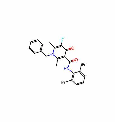 Cc1c(F)c(=O)c(C(=O)Nc2c(C(C)C)cccc2C(C)C)c(C)n1Cc1ccccc1